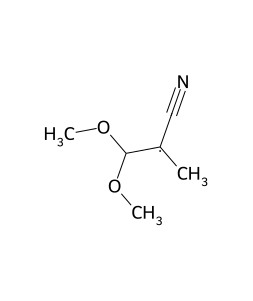 COC(OC)[C](C)C#N